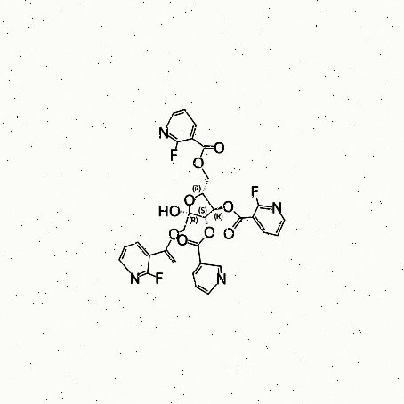 C=C(OC[C@@]1(O)O[C@H](COC(=O)c2cccnc2F)[C@@H](OC(=O)c2cccnc2F)[C@@H]1OC(=O)c1cccnc1)c1cccnc1F